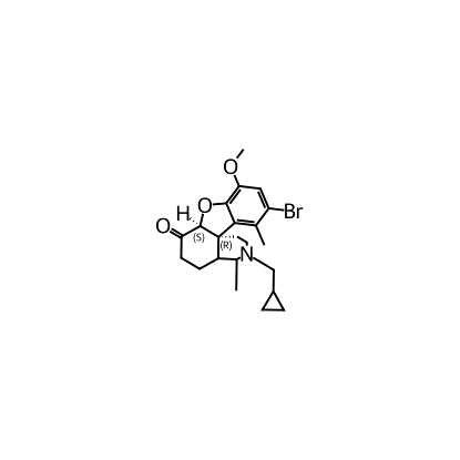 COc1cc(Br)c(C)c2c1O[C@@H]1C(=O)CCC3C(C)N(CC4CC4)CC[C@]231